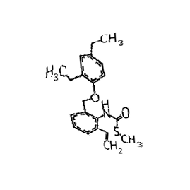 C=Cc1cccc(COc2ccc(CC)cc2CC)c1NC(=O)SC